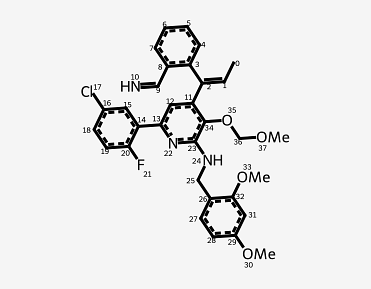 C/C=C(\c1ccccc1C=N)c1cc(-c2cc(Cl)ccc2F)nc(NCc2ccc(OC)cc2OC)c1OCOC